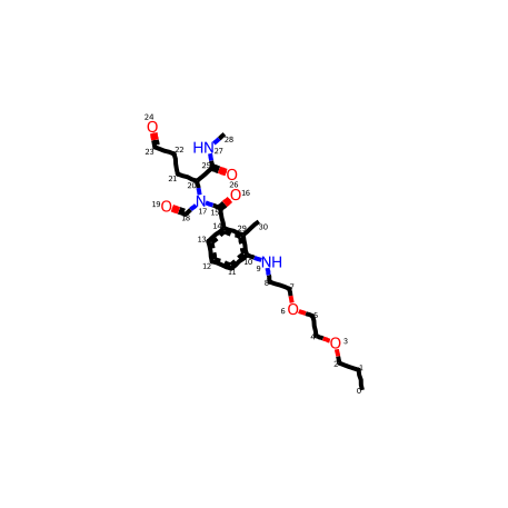 CCCOCCOCCNc1cccc(C(=O)N(C=O)C(CCC=O)C(=O)NC)c1C